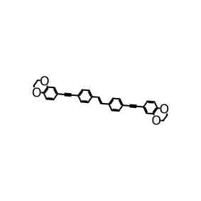 C(#Cc1ccc2c(c1)OCCO2)c1ccc(/C=C/c2ccc(C#Cc3ccc4c(c3)OCCO4)cc2)cc1